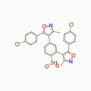 Cc1noc(-c2ccc(Cl)cc2)c1-c1ccc([SH](=O)=O)c(-c2c(C)noc2-c2ccc(Cl)cc2)c1